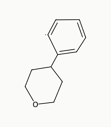 [c]1ccccc1C1CCOCC1